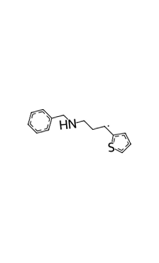 [CH](CCNCc1ccccc1)c1cccs1